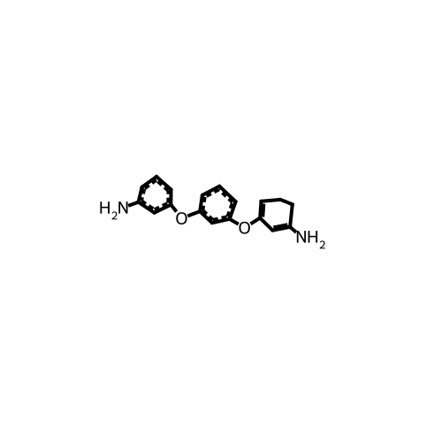 NC1=CC(Oc2cccc(Oc3cccc(N)c3)c2)=CCC1